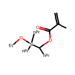 C=C(C)C(=O)OC(CCC)[Si](CCC)(CCC)OCC